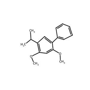 COc1cc(OC)c(C(C)C)cc1-c1ccccc1